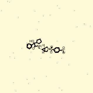 O=C(NC[C@@H]1[C@H]2CN(S(=O)(=O)c3ccc([N+](=O)[O-])cc3)C[C@@H]12)C(O)(c1ccccc1)C1CCCC1